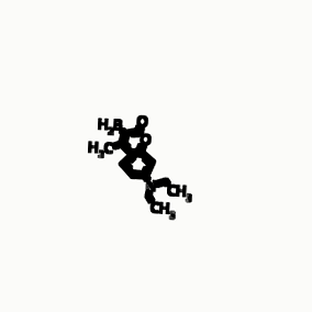 Bc1c(C)c2ccc(N(CC)CC)cc2oc1=O